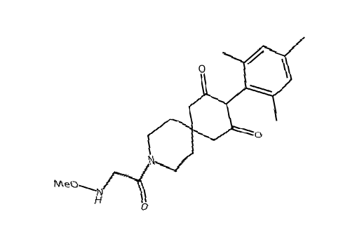 CONCC(=O)N1CCC2(CC1)CC(=O)C(c1c(C)cc(C)cc1C)C(=O)C2